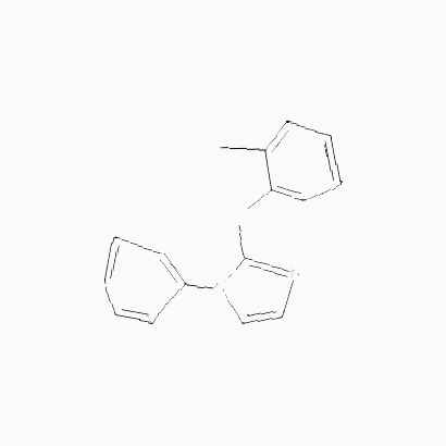 Cc1ccccc1Oc1nccn1-c1ccccc1